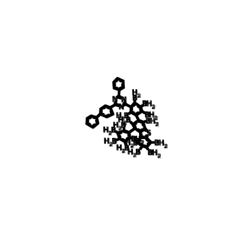 Bc1c(B)c(B)c(-c2c(B)c(-c3c(B)c(B)c(B)c(-c4nc(-c5ccccc5)nc(-c5ccc(-c6ccccc6)cc5)n4)c3B)c(B)c3sc4c(B)c(B)c(B)c(B)c4c23)c(B)c1B